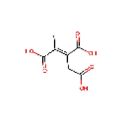 C/C(C(=O)O)=C(/CC(=O)O)C(=O)O